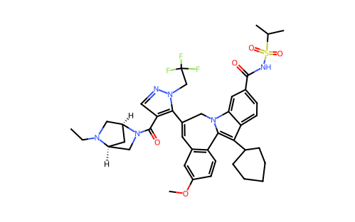 CCN1C[C@@H]2C[C@H]1CN2C(=O)c1cnn(CC(F)(F)F)c1C1=Cc2cc(OC)ccc2-c2c(C3CCCCC3)c3ccc(C(=O)NS(=O)(=O)C(C)C)cc3n2C1